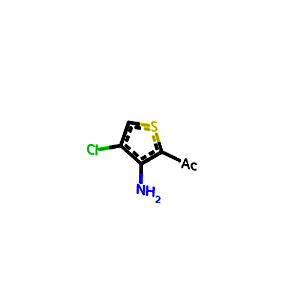 CC(=O)c1scc(Cl)c1N